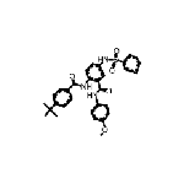 COc1ccc(NC(=O)c2cc(NS(=O)(=O)c3ccccc3)ccc2NC(=O)c2ccc(C(C)(C)C)cc2)cc1